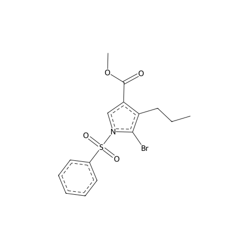 CCCc1c(C(=O)OC)cn(S(=O)(=O)c2ccccc2)c1Br